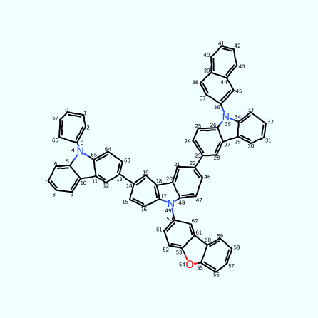 c1ccc(-n2c3ccccc3c3cc(-c4ccc5c(c4)c4cc(-c6ccc7c(c6)c6ccccc6n7-c6ccc7ccccc7c6)ccc4n5-c4ccc5oc6ccccc6c5c4)ccc32)cc1